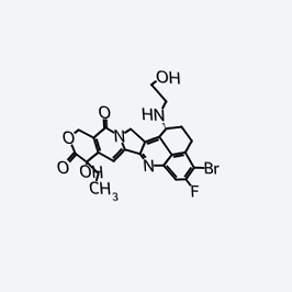 CC[C@@]1(O)C(=O)OCc2c1cc1n(c2=O)Cc2c-1nc1cc(F)c(Br)c3c1c2[C@H](NCCO)CC3